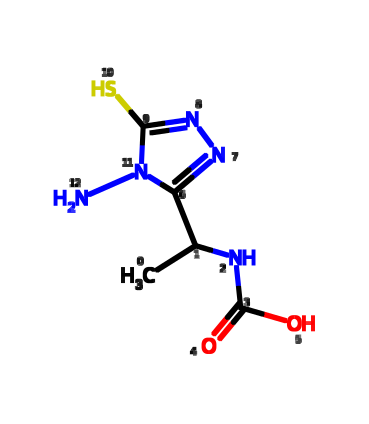 CC(NC(=O)O)c1nnc(S)n1N